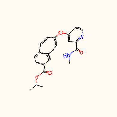 CNC(=O)c1cc(Oc2ccc3ccc(C(=O)OC(C)C)cc3c2)ccn1